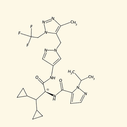 Cc1nnn(CC(F)(F)F)c1Cn1cc(NC(=O)[C@@H](NC(=O)c2ccnn2C(C)C)C(C2CC2)C2CC2)cn1